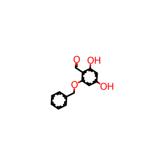 O=Cc1c(O)cc(O)cc1OCc1ccccc1